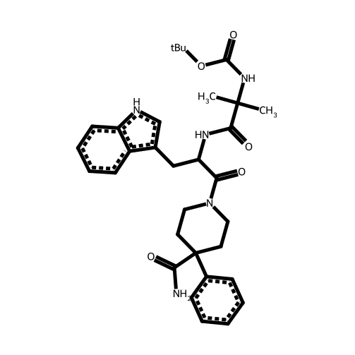 CC(C)(C)OC(=O)NC(C)(C)C(=O)NC(Cc1c[nH]c2ccccc12)C(=O)N1CCC(C(N)=O)(c2ccccc2)CC1